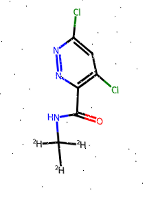 [2H]C([2H])([2H])NC(=O)c1nnc(Cl)cc1Cl